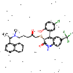 CC(c1cccc2ccccc12)N(C)CCCC(=O)CSc1c(-c2cc(Cl)ccc2O)c2cc(C(F)(F)F)ccc2[nH]c1=O